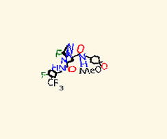 COC(=O)C1(C)CC=C(CNC(=O)c2cc(C(=O)NCc3ccc(F)c(C(F)(F)F)c3)nc3c(F)cnn23)CC1